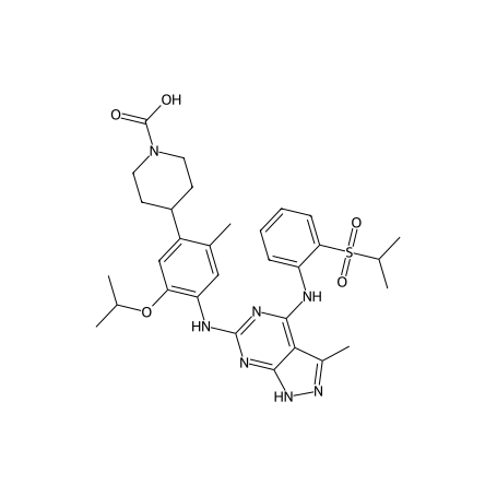 Cc1cc(Nc2nc(Nc3ccccc3S(=O)(=O)C(C)C)c3c(C)n[nH]c3n2)c(OC(C)C)cc1C1CCN(C(=O)O)CC1